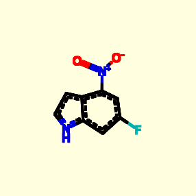 O=[N+]([O-])c1cc(F)cc2[nH]ccc12